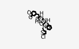 COc1ccc(CC(=O)NC(=N)N[C@H](Cc2ccccc2)C(=O)NCc2ccc(Cl)s2)cc1OC